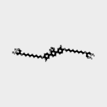 C=CC(C=C)OCCCCCCCCCOc1ccc(-c2ccc(-c3ccc(OCCCCCCCCCOC(C=C)C=C)c(F)c3)c3nsnc23)cc1F